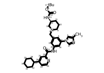 Cc1cn(-c2cc(CN3CCC[C@H](NC(=O)OC(C)(C)C)C3)cc(NC(=O)c3cc(C4CCCCC4)ccn3)c2)cn1